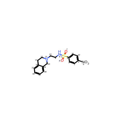 O=[N+]([O-])c1ccc(S(=O)(=O)NCCN2CCc3ccccc3C2)cc1